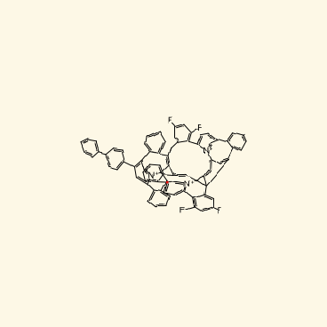 Fc1cc(F)c2c(c1)C/C1=C(\C3=C\C45C6=C=C7C=C(c8ccccc8-c8ccc-2[n+]7c8)C64c2cc(F)cc(F)c2-c2ccc(c[n+]25)-c2ccccc23)C2Cc3ccccc3-c3cc(-c4ccc(-c5ccccc5)cc4)c(c[n+]32)-c2ccccc21